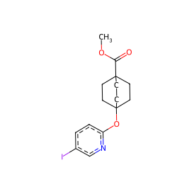 COC(=O)C12CCC(Oc3ccc(I)cn3)(CC1)CC2